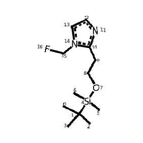 CC(C)(C)[Si](C)(C)OCCc1nccn1CF